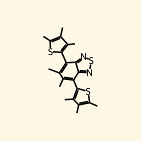 Cc1sc(-c2c(C)c(C)c(-c3sc(C)c(C)c3C)c3nsnc23)c(C)c1C